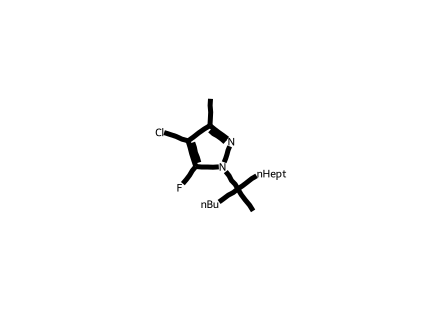 CCCCCCCC(C)(CCCC)n1nc(C)c(Cl)c1F